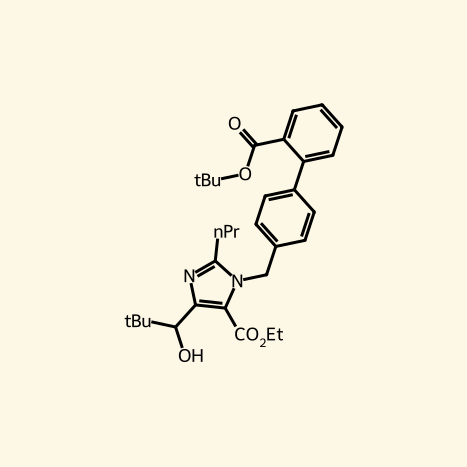 CCCc1nc(C(O)C(C)(C)C)c(C(=O)OCC)n1Cc1ccc(-c2ccccc2C(=O)OC(C)(C)C)cc1